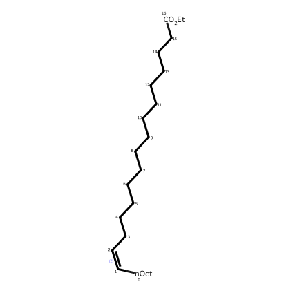 CCCCCCCC/C=C\CCCCCCCCCCCCCC(=O)OCC